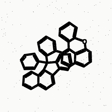 c1ccc(C2(c3ccccc3-c3ccc4cccc5c4c3-c3ccccc3O5)c3ccccc3-c3ccc4ccccc4c32)cc1